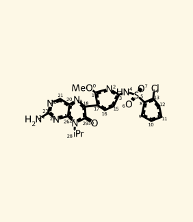 COc1nc(NS(=O)(=O)c2ccccc2Cl)ccc1-c1nc2cnc(N)nc2n(C(C)C)c1=O